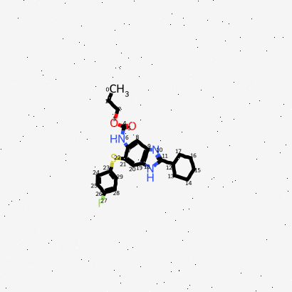 CCCOC(=O)Nc1cc2nc(C3CCCCC3)[nH]c2cc1Sc1ccc(F)cc1